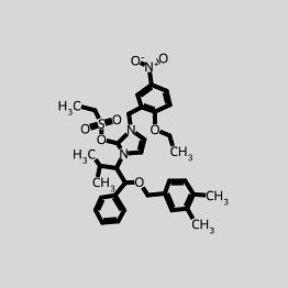 CCOc1ccc([N+](=O)[O-])cc1CN1C=CN(C(C(C)C)C(OCc2ccc(C)c(C)c2)c2ccccc2)C1OS(=O)(=O)CC